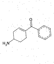 NC1CC=C(C(=O)c2ccccc2)CC1